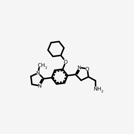 CN1CCN=C1c1ccc(C2=NOC(CN)C2)c(OC2CCCCC2)c1